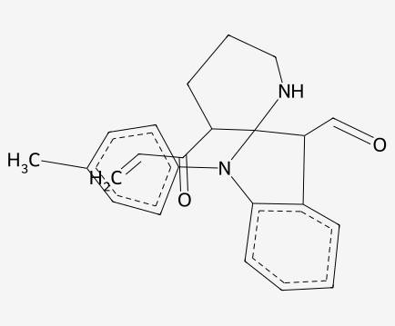 C=CC(=O)C1CCCNC12C(C=O)c1ccccc1N2c1ccc(C)cc1